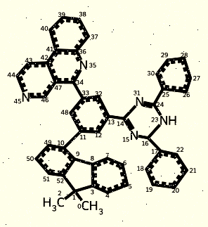 CC1(C)c2ccccc2-c2c(-c3cc(C4=NC(c5ccccc5)NC(c5ccccc5)=N4)cc(-c4nc5ccccc5c5ccncc45)c3)cccc21